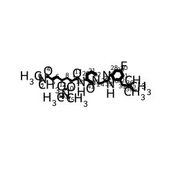 CN(C)C(=O)/C=C/CCC(OC(=O)N(C)C)C(=O)Nc1cccn(Cc2nc3cc(F)cc(CC(C)(C)C)c3[nH]2)c1=O